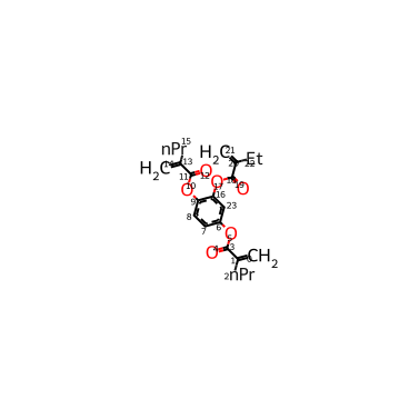 C=C(CCC)C(=O)Oc1ccc(OC(=O)C(=C)CCC)c(OC(=O)C(=C)CC)c1